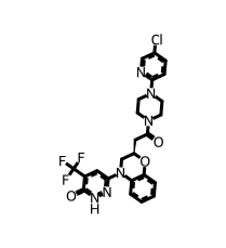 O=C(C[C@@H]1CN(c2cc(C(F)(F)F)c(=O)[nH]n2)c2ccccc2O1)N1CCN(c2ccc(Cl)cn2)CC1